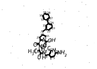 Cc1nc(N)ccc1CNC(=O)[C@H](C)NC(=O)[C@H]1C[C@H](Cc2cccc(-c3ccccc3)c2)CN1C(=O)O